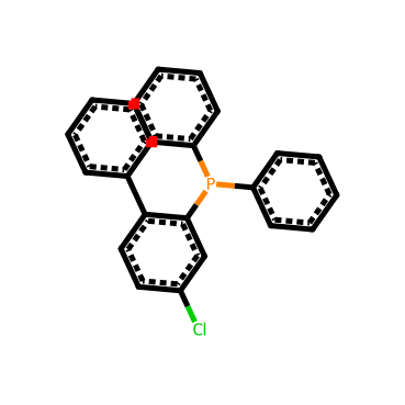 Clc1ccc(-c2ccccc2)c(P(c2ccccc2)c2ccccc2)c1